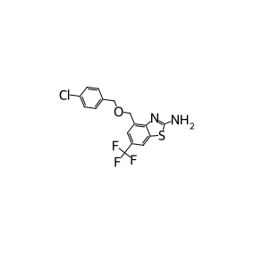 Nc1nc2c(COCc3ccc(Cl)cc3)cc(C(F)(F)F)cc2s1